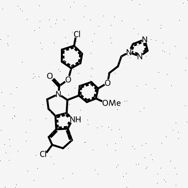 COc1cc(C2c3[nH]c4c(c3CCN2C(=O)Oc2ccc(Cl)cc2)=CC(Cl)CC=4)ccc1OCCCn1cncn1